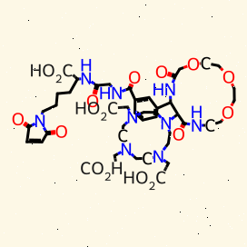 O=C(O)CN1CCN(CC(=O)O)CCN(C2C(=O)NCCOCCOCCOCC(=O)NC2c2cccc(C(=O)NCC(=O)NC(CCCCN3C(=O)C=CC3=O)C(=O)O)c2)CCN(CC(=O)O)CC1